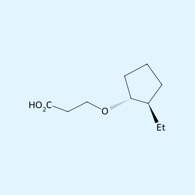 CC[C@@H]1CCC[C@H]1OCCC(=O)O